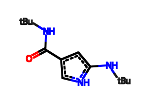 CC(C)(C)NC(=O)c1c[nH]c(NC(C)(C)C)c1